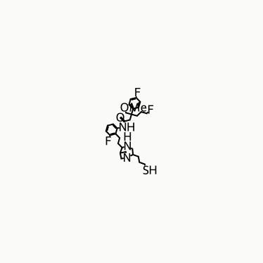 COCC(CCCF)(CC(=O)Nc1cccc(F)c1CCC1NCC(CCCS)N2CC1C2)c1ccc(F)cc1